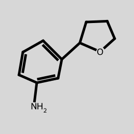 Nc1cccc(C2CCCO2)c1